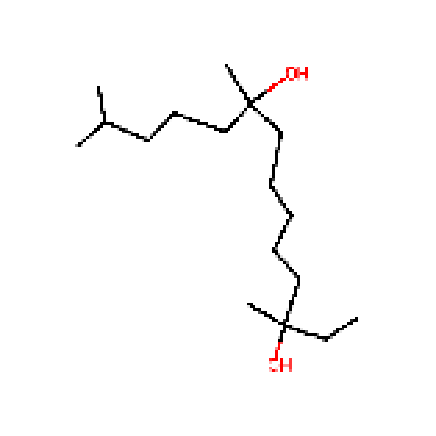 CCC(C)(O)CCCCCC(C)(O)CCCC(C)C